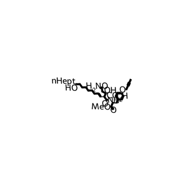 CC#CCOc1ccc(C[C@H](NC(=O)[C@@H](C=CCCCCCCC(O)CCCCCCC)[C@@](O)(CC(N)=O)C(=O)O)C(=O)OC)cc1